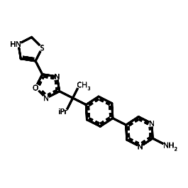 CC(C)C(C)(c1ccc(-c2cnc(N)nc2)cc1)c1noc(C2=CNCS2)n1